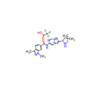 Cc1nn(C)c2cc(C(=O)Nc3cn4cc([C@H]5CC(C)(C)CN5)nc4cn3)ccc12.O=C(O)C(F)(F)F